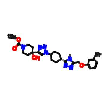 CC(C)c1cccc(OCc2nnc([C@H]3CC[C@H](n4cc(C5(O)CCN(C(=O)OC(C)(C)C)CC5)nn4)CC3)n2C)c1